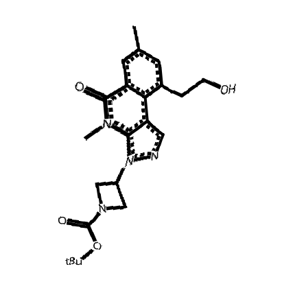 Cc1cc(CCO)c2c(c1)c(=O)n(C)c1c2cnn1C1CN(C(=O)OC(C)(C)C)C1